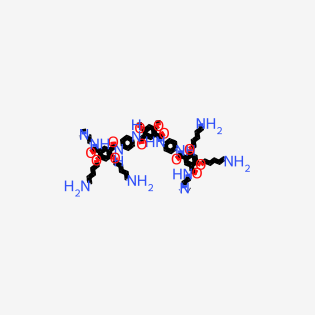 COc1cc(OC)c(C(=O)NC2CCC(NC(=O)c3cc(C(=O)NCCN(C)C)c(OCCCCCN)cc3OCCCCCN)CC2)cc1C(=O)NC1CCC(NC(=O)c2cc(C(=O)NCCN(C)C)c(OCCCCCN)cc2OCCCCCN)CC1